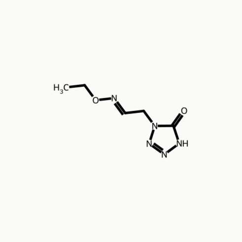 CCON=CCn1nn[nH]c1=O